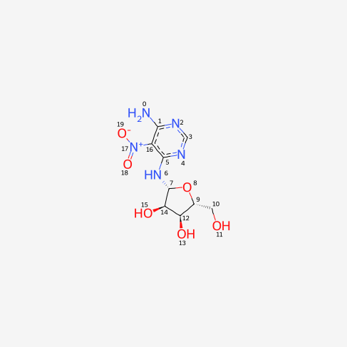 Nc1ncnc(N[C@@H]2O[C@H](CO)[C@@H](O)[C@H]2O)c1[N+](=O)[O-]